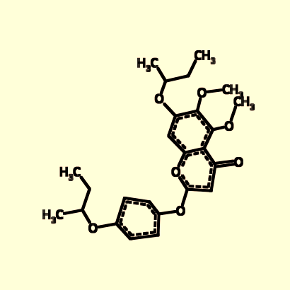 CCC(C)Oc1ccc(Oc2cc(=O)c3c(OC)c(OC)c(OC(C)CC)cc3o2)cc1